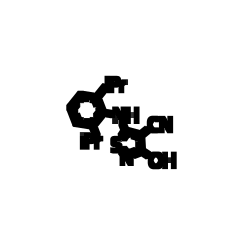 CC(C)c1cccc(C(C)C)c1Nc1snc(O)c1C#N